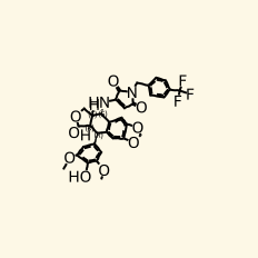 COc1cc([C@@H]2c3cc4c(cc3[C@@H](NC3=CC(=O)N(Cc5ccc(C(F)(F)F)cc5)C3=O)[C@H]3COC(=O)[C@H]23)OCO4)cc(OC)c1O